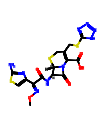 CON=C(C(=O)N[C@@H]1C(=O)N2C(C(=O)O)=C(CSc3nnn[nH]3)CS[C@@H]12)c1csc(N)n1